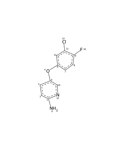 Nc1ccc(Oc2ccc(F)c(Cl)c2)cn1